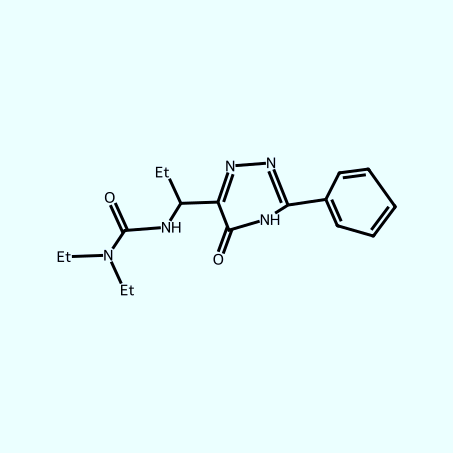 CCC(NC(=O)N(CC)CC)c1nnc(-c2ccccc2)[nH]c1=O